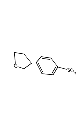 C1CCOC1.O=S(=O)(O)c1ccccc1